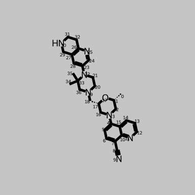 C[C@@H]1CN(c2ccc(C#N)c3ncccc23)C[C@H](CN2CCN(c3cnc4c(c3)CNCC4)C(C)(C)C2)O1